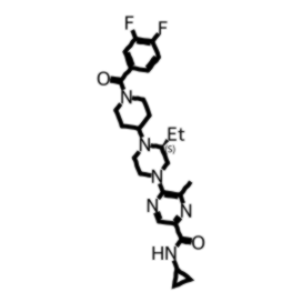 CC[C@H]1CN(c2ncc(C(=O)NC3CC3)nc2C)CCN1C1CCN(C(=O)c2ccc(F)c(F)c2)CC1